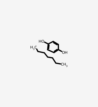 CCCCCCC.Oc1ccc(O)cc1